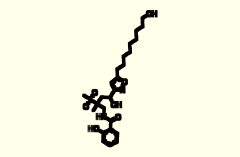 CC(CNC(=O)c1ccccc1O)(CC(O)c1cc(CCCCCCCCCO)on1)S(C)(=O)=O